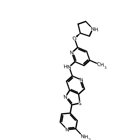 Cc1cc(Nc2cc3nc(-c4ccnc(N)c4)sc3cn2)nc(O[C@H]2CCNC2)c1